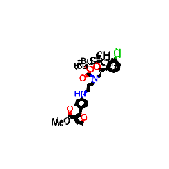 COC(=O)c1ccoc1-c1ccc(NCCCN(C[C@@H](O[Si](C)(C)C(C)(C)C)c2cccc(Cl)c2)C(=O)OC(C)(C)C)cc1